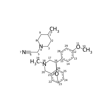 CC1CCN(CC#N)CC1.COc1ccc(C23CN(C)Cc4cc(ccc42)O3)cc1